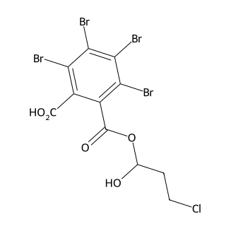 O=C(O)c1c(Br)c(Br)c(Br)c(Br)c1C(=O)OC(O)CCCl